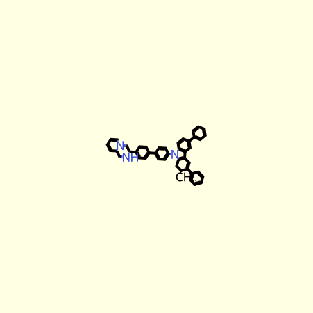 C[C@@H]1Cc2c(c3cc(-c4ccccc4)ccc3n2-c2ccc(-c3ccc(C4CN5C=CC=CC5CN4)cc3)cc2)C=C1c1ccccc1